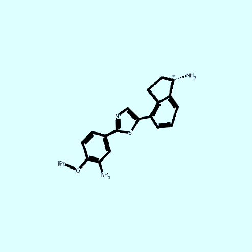 CC(C)Oc1ccc(-c2ncc(-c3cccc4c3CC[C@@H]4N)s2)cc1N